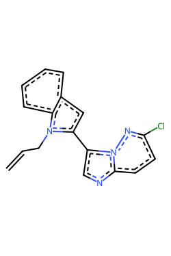 C=CCn1c(-c2cnc3ccc(Cl)nn23)cc2ccccc21